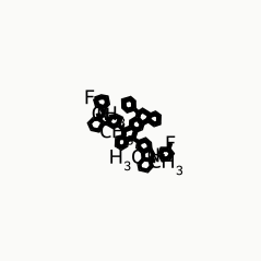 CC12CCCCC1(C)N(c1cccc(F)c1)c1ccc(-c3c4ccccc4c(-c4ccc5c(c4)C4(C)CCCCC4(C)N5c4cccc(F)c4)c4cc5c(cc34)c(-c3ccccc3)cc3ccccc35)cc12